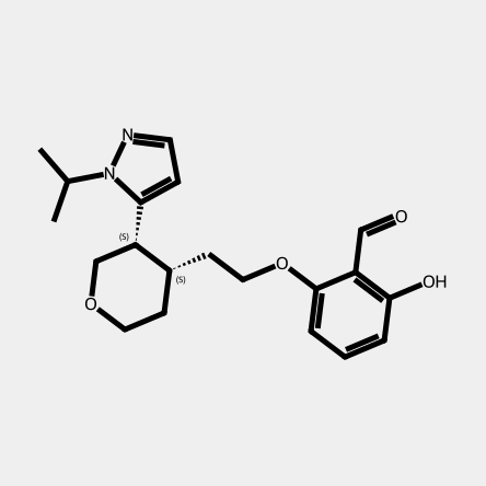 CC(C)n1nccc1[C@H]1COCC[C@H]1CCOc1cccc(O)c1C=O